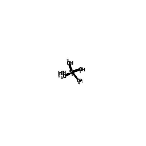 O[Si](O)(O)O.[In]